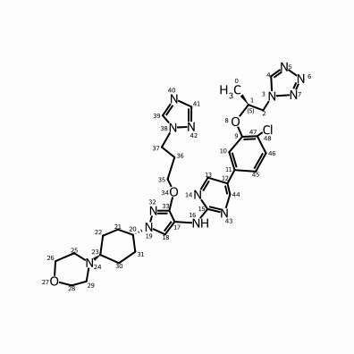 C[C@@H](Cn1cnnn1)Oc1cc(-c2cnc(Nc3cn([C@H]4CC[C@H](N5CCOCC5)CC4)nc3OCCCn3cncn3)nc2)ccc1Cl